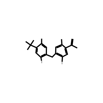 C=C(C)c1cc(I)c(Cc2cc(C)c(C(C)(C)C)cc2I)cc1C